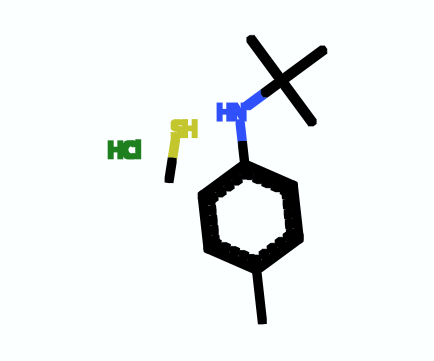 CS.Cc1ccc(NC(C)(C)C)cc1.Cl